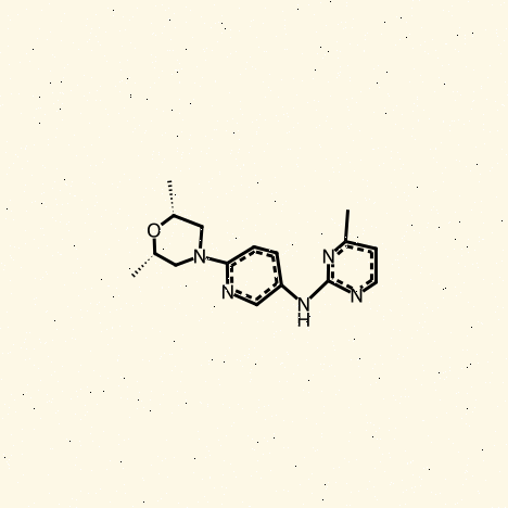 Cc1ccnc(Nc2ccc(N3C[C@@H](C)O[C@@H](C)C3)nc2)n1